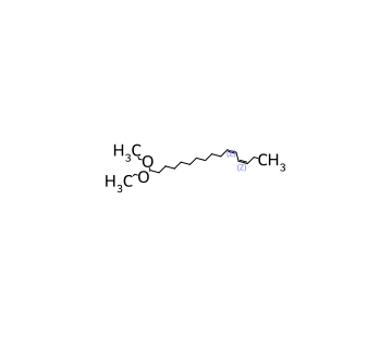 CC/C=C\C=C/CCCCCCCCCC(OCC)OCC